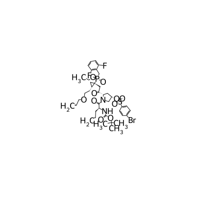 C=CCOCC[C@@H]1C[C@]1(CC(=O)[C@@H]1C[C@H](OS(=O)(=O)c2ccc(Br)cc2)CN1C(=O)[C@H](CC=C)NC(=O)OC(C)(C)C)P(=O)(Cc1c(F)cccc1F)OCC